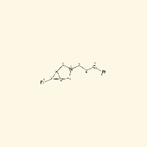 CCC1C2CN(CCOC(C)C)CC12